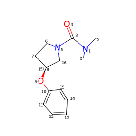 CN(C)C(=O)N1CC[C@H](Oc2cc[c]cc2)C1